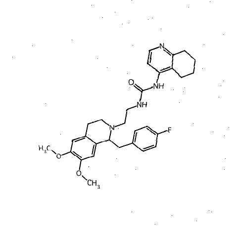 COc1cc2c(cc1OC)C(Cc1ccc(F)cc1)N(CCNC(=O)Nc1ccnc3c1CCCC3)CC2